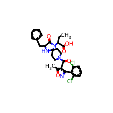 CCC(C(=O)O)N1C(=O)C(Cc2ccccc2)NC12CCN(C(=O)c1c(-c3c(Cl)cccc3Cl)noc1C)CC2